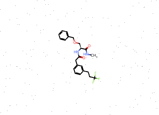 CNC(=O)[C@H](COCc1ccccc1)NC(=O)Cc1cccc(CCC(F)(F)F)c1